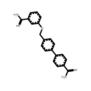 N=C(N)c1ccc(-c2ccc(COc3cccc(C(=N)N)c3)cc2)cc1